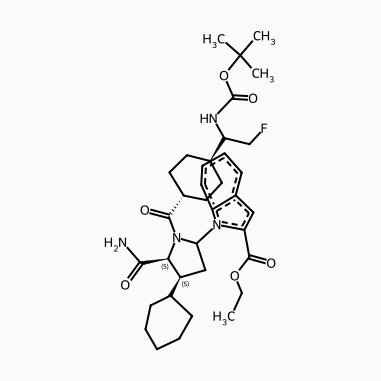 CCOC(=O)c1cc2ccccc2n1C1C[C@@H](C2CCCCC2)[C@@H](C(N)=O)N1C(=O)[C@H]1CC[C@H](C(CF)NC(=O)OC(C)(C)C)CC1